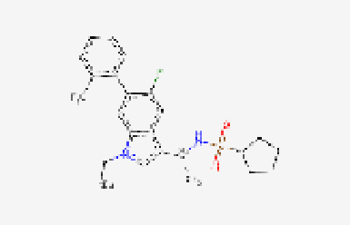 CC(C)(C)Cn1cc([C@H](NS(=O)(=O)C2CCCC2)C(F)(F)F)c2cc(F)c(-c3ccccc3C(F)(F)F)cc21